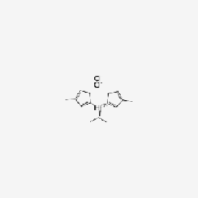 CC1=CC[C]([Hf+2]([C]2=CC(C)=CC2)=[C](C)C)=C1.[Cl-].[Cl-]